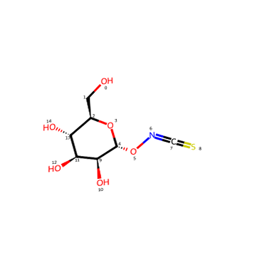 OC[C@H]1O[C@H](ON=C=S)[C@@H](O)[C@@H](O)[C@@H]1O